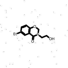 CCc1ccc2c(c1)C(=O)N(CCO)CO2